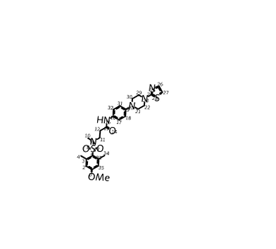 COc1cc(C)c(S(=O)(=O)N(C)CCC(=O)Nc2ccc(N3CCN(c4nccs4)CC3)cc2)c(C)c1